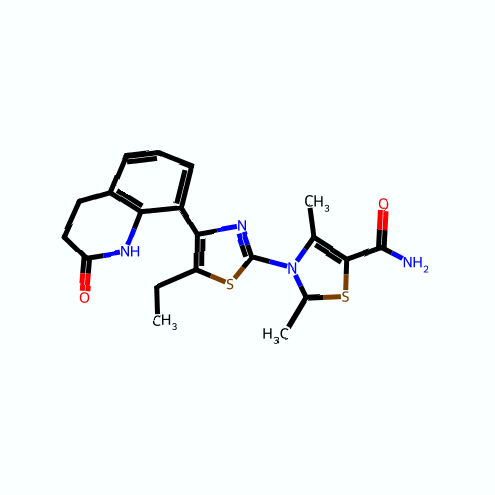 CCc1sc(N2C(C)=C(C(N)=O)SC2C)nc1-c1cccc2c1NC(=O)CC2